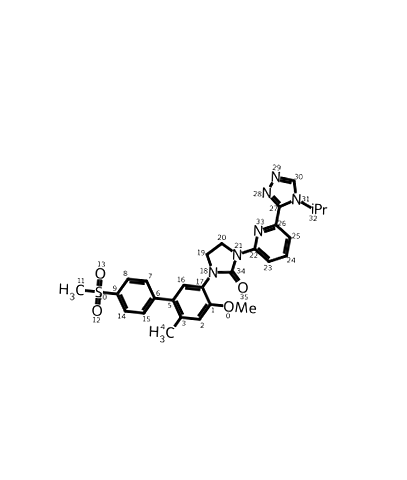 COc1cc(C)c(-c2ccc(S(C)(=O)=O)cc2)cc1N1CCN(c2cccc(-c3nncn3C(C)C)n2)C1=O